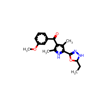 CCC1NN=C(c2[nH]c(C)c(C(=O)c3cccc(OC)c3)c2C)O1